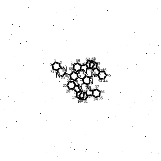 c1ccc2nc(-c3ccc(-c4c(-n5c6ccccc6c6ccccc65)c(-n5c6ccccc6c6ccccc65)nc(-n5c6ccccc6c6ccccc65)c4-n4c5ccccc5c5ccccc54)cc3)cnc2c1